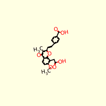 COc1ccc2c(=O)c(C)c(C=Cc3ccc(C(=O)O)cc3)oc2c1CC(=O)O